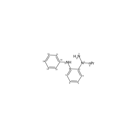 CCCN(N)c1ccccc1Nc1ccccc1